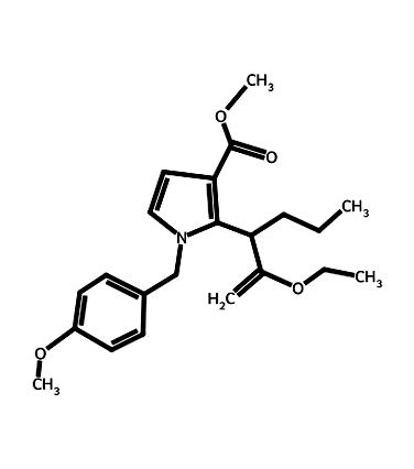 C=C(OCC)C(CCC)c1c(C(=O)OC)ccn1Cc1ccc(OC)cc1